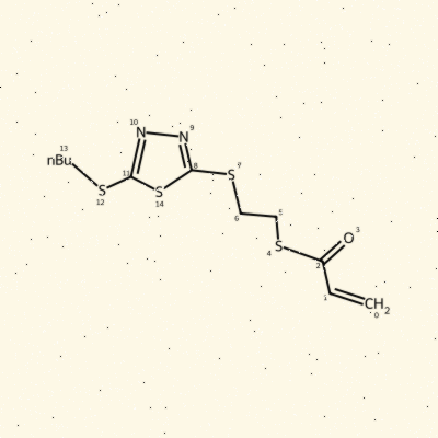 C=CC(=O)SCCSc1nnc(SCCCC)s1